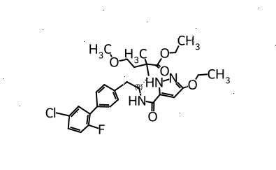 CCOC(=O)C(C)(CCOC)C[C@@H](Cc1ccc(-c2cc(Cl)ccc2F)cc1)NC(=O)c1cc(OCC)n[nH]1